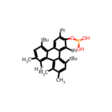 Cc1cc(C(C)(C)C)c2c3cc(C(C)C)c(OP(O)O)c(C(C)C)c3c3c(C(C)(C)C)cc(C)c(C)c3c2c1C